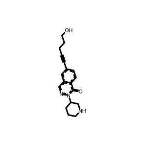 O=c1c2ccc(C#CCCCO)cc2cnn1C1CCCNC1